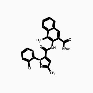 CNC(=O)c1cc2ccccc2c(C)c1NC(=O)c1cc(C(F)(F)F)nn1-c1ncccc1Cl